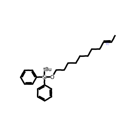 C/C=C/CCCCCCCCO[Si](c1ccccc1)(c1ccccc1)C(C)(C)C